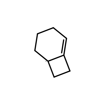 C1=C2CC[C]2CCC1